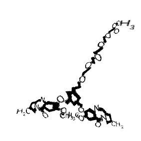 C=C1CC2C=Nc3cc(OCc4cc(CCCOCCOCCOCCOCCOCC(=O)OC)cc(COc5cc6c(cc5OC)C(=O)N5CC(=C)CC5C=N6)c4)c(OC)cc3C(=O)N2C1